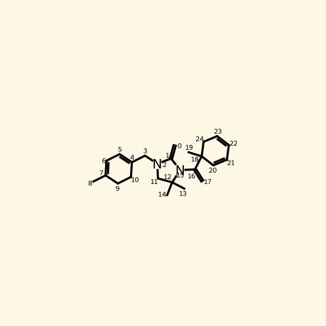 C=C1N(CC2=CC=C(C)CC2)CC(C)(C)N1C(=C)C1(C)C=CC=CC1